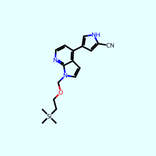 C[Si](C)(C)CCOCn1ccc2c(-c3c[nH]c(C#N)c3)ccnc21